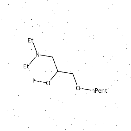 CCCCCOCC(CN(CC)CC)OI